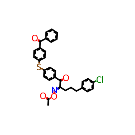 CC(=O)O/N=C(\CCCc1ccc(Cl)cc1)C(=O)c1ccc(Sc2ccc(C(=O)c3ccccc3)cc2)cc1